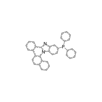 c1ccc(P(c2ccccc2)c2ccc3c(c2)nc2c4ccccc4c4ccc5ccccc5c4n32)cc1